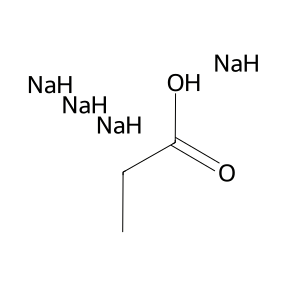 CCC(=O)O.[NaH].[NaH].[NaH].[NaH]